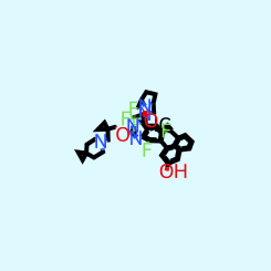 C#Cc1cccc2cc(O)cc(-c3c(F)cc4c(N5CC6CCC(C5)N6C(=O)C(F)(F)F)nc(OCC5(CN6CCC7(CC6)CC7)CC5)nc4c3F)c12